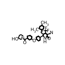 Cc1ccc(Cc2c(-c3ccc(Oc4cccc(C(=O)N5CCCC(O)C5)c4)cc3)[nH]c(=O)c(C#N)c2C(F)(F)F)c(C)c1